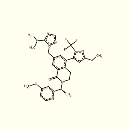 CCn1cc(-c2cc(Cn3ccnc3C(C)C)cc3c2CCN([C@@H](C)c2cc(OC)ccn2)C3=O)c(C(F)(F)F)n1